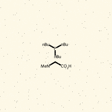 CCCCP(CCCC)CCCC.CNCC(=O)O